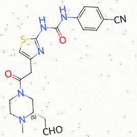 CN1CCN(C(=O)Cc2csc(NC(=O)Nc3ccc(C#N)cc3)n2)C[C@@H]1CC=O